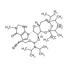 CC(C)N(C(C)C)P(OCCC#N)O[C@@H]1[C@@H]2O[Si](C(C)C)(C(C)C)O[Si](C(C)C)(C(C)C)OC[C@H]2O[C@H]1n1cc(F)c2c1NCN(C)C2=O